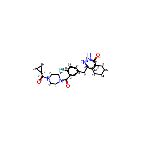 O=C(c1cc(Cc2n[nH]c(=O)c3c2CCCC3)ccc1F)N1CCN(C(=O)C2CC2)CC1